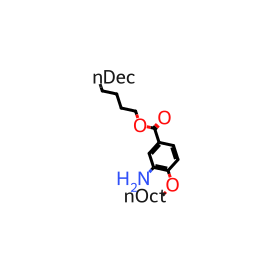 CCCCCCCCCCCCCCOC(=O)c1ccc(OCCCCCCCC)c(N)c1